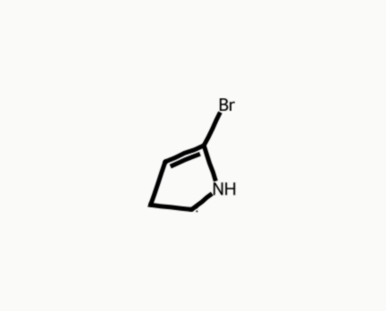 BrC1=CC[C]N1